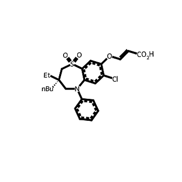 CCCC[C@@]1(CC)CN(c2ccccc2)c2cc(Cl)c(O/C=C/C(=O)O)cc2S(=O)(=O)C1